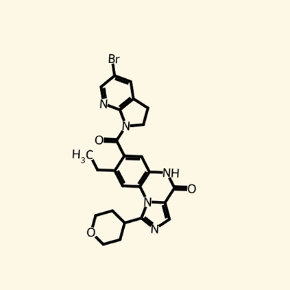 CCc1cc2c(cc1C(=O)N1CCc3cc(Br)cnc31)[nH]c(=O)c1cnc(C3CCOCC3)n12